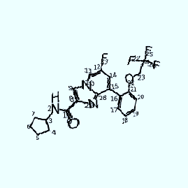 O=C(NC1CCCC1)c1cn2cc(F)cc(-c3ccccc3OCC(F)(F)F)c2n1